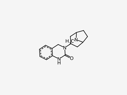 CN1C2CCC1CC(N1Cc3ccccc3NC1=O)C2